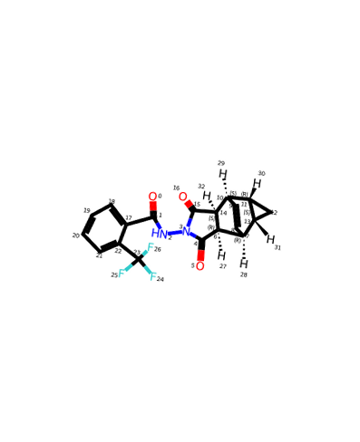 O=C(NN1C(=O)[C@@H]2[C@H]3C=C[C@H]([C@@H]4C[C@H]34)[C@@H]2C1=O)c1ccccc1C(F)(F)F